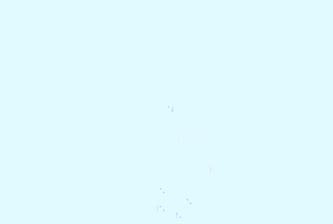 O=C(O)c1cc(C(=O)C=C(O)c2nn[nH]n2)n(Cc2cccc(F)c2)c1